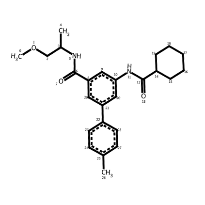 COCC(C)NC(=O)c1cc(NC(=O)C2CCCCC2)cc(-c2ccc(C)cc2)c1